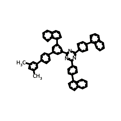 Cc1cc(C)cc(-c2ccc(-c3cc(-c4nc(-c5ccc(-c6cccc7ccccc67)cc5)nc(-c5ccc(-c6cccc7ccccc67)cc5)n4)cc(-c4cccc5ccccc45)c3)cc2)c1